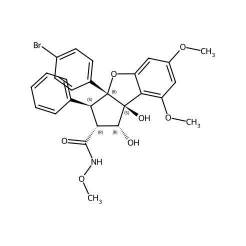 CONC(=O)[C@H]1[C@@H](O)[C@@]2(O)c3c(OC)cc(OC)cc3O[C@@]2(c2ccc(Br)cc2)[C@@H]1c1ccccc1